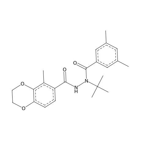 Cc1cc(C)cc(C(=O)N(NC(=O)c2ccc3c(c2C)OCCO3)C(C)(C)C)c1